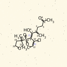 C=C(CCC(C)=O)/C(O)=C(\C(Cl)=C/C)S(=O)(=O)[C@@]1(C)CCOC1